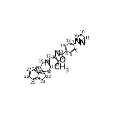 Cc1oc(-c2ccc(-n3cccn3)cc2)nc1CN1CCC2(CCc3ccccc32)CC1